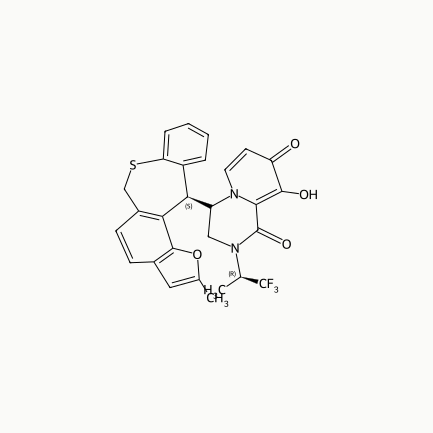 Cc1cc2ccc3c(c2o1)[C@H](C1CN([C@H](C)C(F)(F)F)C(=O)c2c(O)c(=O)ccn21)c1ccccc1SC3